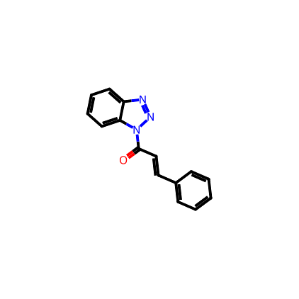 O=C(C=Cc1ccccc1)n1nnc2ccccc21